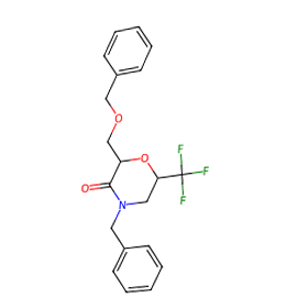 O=C1C(COCc2ccccc2)OC(C(F)(F)F)CN1Cc1ccccc1